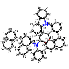 C1=CC(c2ccccc2-n2c3ccccc3c3ccccc32)CC=C1N(c1ccccc1-c1ccc2ccccc2c1)c1ccc(-c2cccc3ccccc23)c2ccccc12